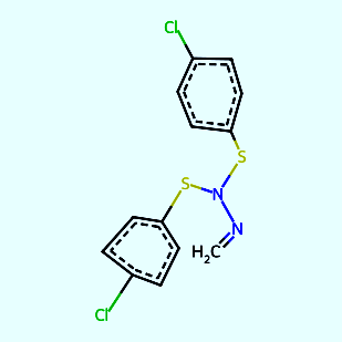 C=NN(Sc1ccc(Cl)cc1)Sc1ccc(Cl)cc1